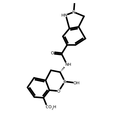 CN1Cc2ccc(C(=O)N[C@H]3Cc4cccc(C(=O)O)c4OB3O)cc2N1